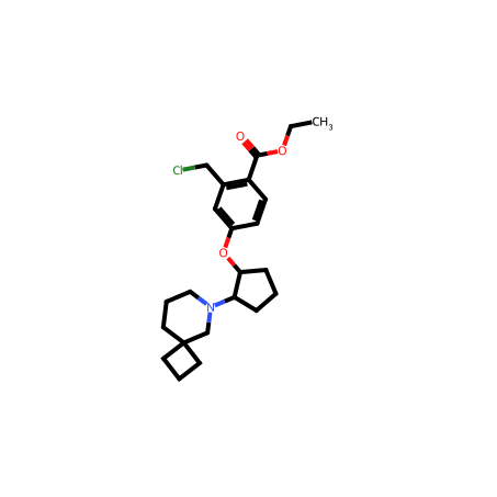 CCOC(=O)c1ccc(OC2CCCC2N2CCCC3(CCC3)C2)cc1CCl